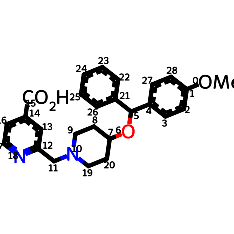 COc1ccc(C(OC2CCN(Cc3cc(C(=O)O)ccn3)CC2)c2ccccc2)cc1